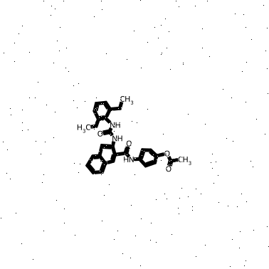 CCc1cccc(CC)c1NC(=O)Nc1cc2ccccc2cc1C(=O)Nc1ccc(OC(C)=O)cc1